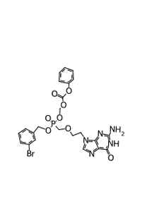 Nc1nc2c(ncn2CCOCP(=O)(OCOC(=O)Oc2ccccc2)OCc2cccc(Br)c2)c(=O)[nH]1